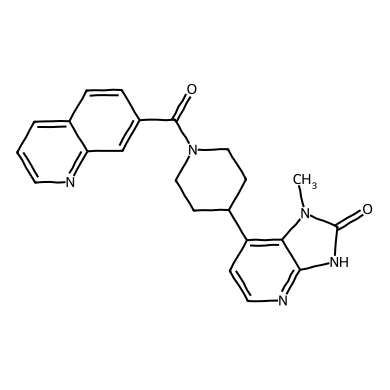 Cn1c(=O)[nH]c2nccc(C3CCN(C(=O)c4ccc5cccnc5c4)CC3)c21